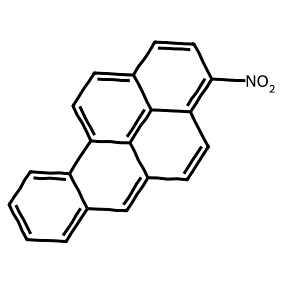 O=[N+]([O-])c1ccc2ccc3c4ccccc4cc4ccc1c2c43